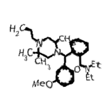 C=CCN1CC(C)N(C(c2cccc(OC)c2)c2ccccc2C(=O)N(CC)CC)CC1(C)C